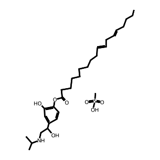 CCCCC=CCC=CCCCCCCCCC(=O)Oc1ccc(C(O)CNC(C)C)cc1O.CS(=O)(=O)O